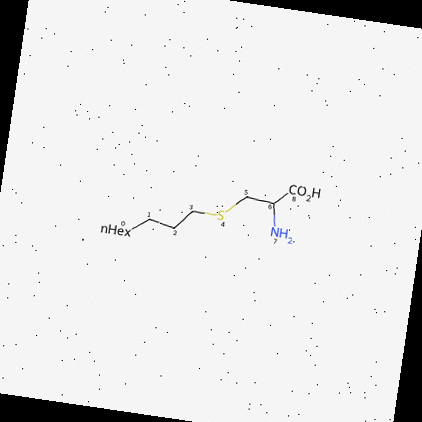 CCCCCCCCCSCC(N)C(=O)O